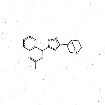 CC(=O)OC(c1ccccc1)c1noc(C2CN3CCC2CC3)n1